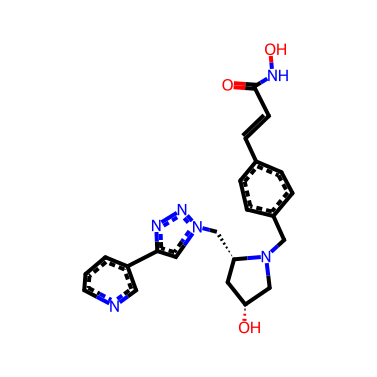 O=C(C=Cc1ccc(CN2C[C@H](O)C[C@@H]2Cn2cc(-c3cccnc3)nn2)cc1)NO